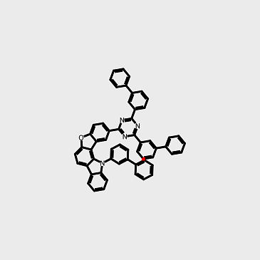 c1ccc(-c2cccc(-c3nc(-c4cccc(-c5ccccc5)c4)nc(-c4ccc5oc6ccc7c8ccccc8n(-c8cccc(-c9ccccc9)c8)c7c6c5c4)n3)c2)cc1